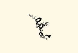 COc1ccc(-c2nc(C(=O)NCc3cccc(C(=O)O)n3)c([C@H](C)N)s2)cc1OCC1CC1.Cl.Cl